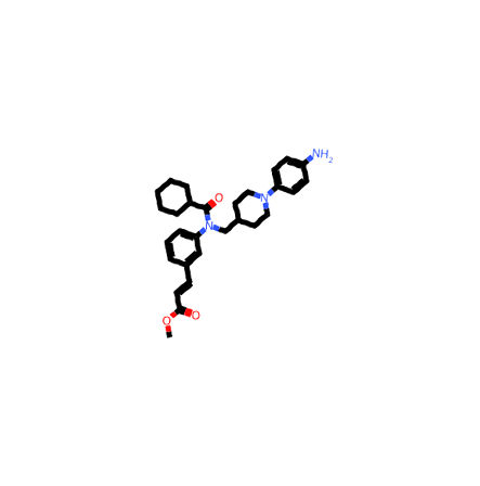 COC(=O)C=Cc1cccc(N(CC2CCN(c3ccc(N)cc3)CC2)C(=O)C2CCCCC2)c1